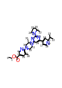 CCOC(=O)c1cnc(N2CCN(c3cc(-c4ccnc(C(C)C)c4)nc(N4CCCC4C)n3)[C@H](C)C2)c(C)c1